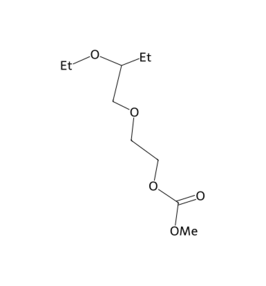 CCOC(CC)COCCOC(=O)OC